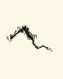 CCCCCCCC/C=C\CCCCCCCCNC(=O)O[C@@H]1CC[C@@]2(C)C(CCC3C2CC[C@@]2(C)C3CC[C@@H]2[C@H](C)CCC(=O)NCCCCCC(C)=O)C1